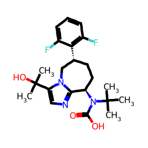 CC(C)(O)c1cnc2n1C[C@H](c1c(F)cccc1F)CC[C@H]2N(C(=O)O)C(C)(C)C